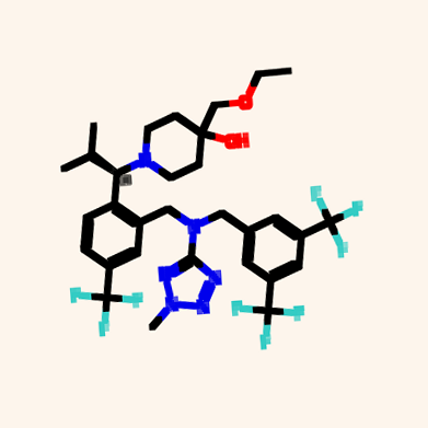 CCOCC1(O)CCN([C@@H](c2ccc(C(F)(F)F)cc2CN(Cc2cc(C(F)(F)F)cc(C(F)(F)F)c2)c2nnn(C)n2)C(C)C)CC1